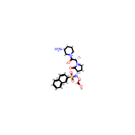 C[C@@H](C(=O)N1CCC[C@@H](N)C1)N1CC[C@H](N(OC=O)S(=O)(=O)c2ccc3ccccc3c2)C1=O